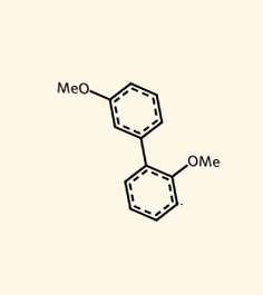 COc1cccc(-c2ccc[c]c2OC)c1